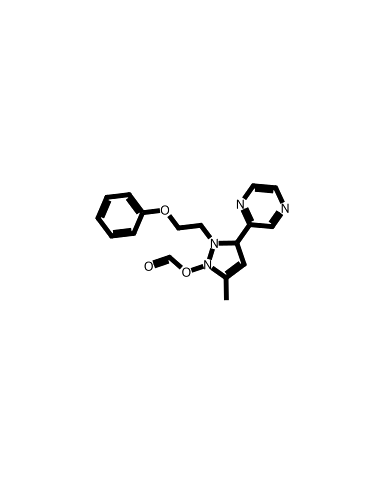 CC1=CC(c2cnccn2)N(CCOc2ccccc2)N1OC=O